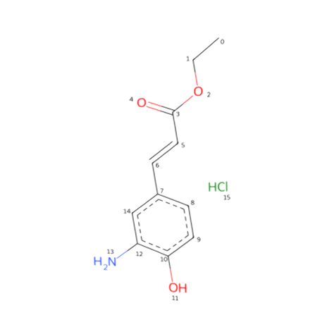 CCOC(=O)C=Cc1ccc(O)c(N)c1.Cl